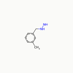 Cc1cccc(CN[NH])c1